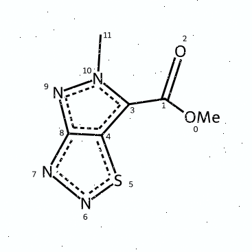 COC(=O)c1c2snnc2nn1C